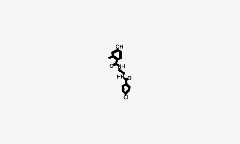 Cc1cc(O)ccc1C(=O)NCCNC(=O)c1ccc(Cl)cc1